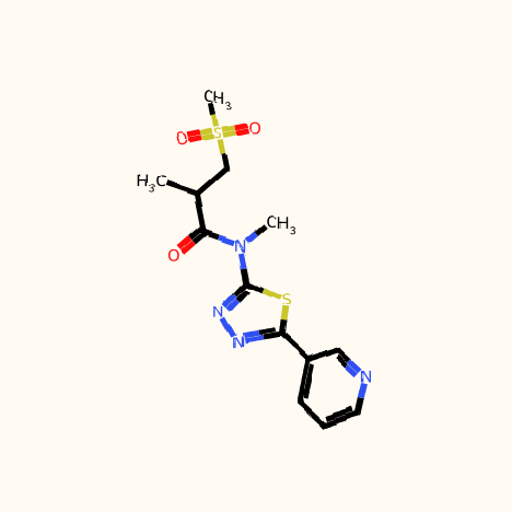 CC(CS(C)(=O)=O)C(=O)N(C)c1nnc(-c2cccnc2)s1